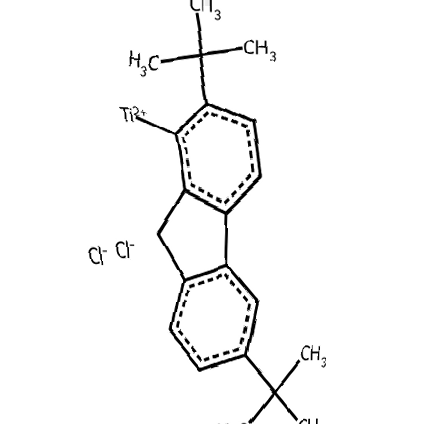 CC(C)(C)c1ccc2c(c1)-c1ccc(C(C)(C)C)[c]([Ti+2])c1C2.[Cl-].[Cl-]